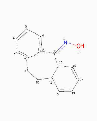 O/N=C1/c2ccccc2CCC2C=CC=CC12